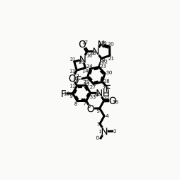 CN(C)CCC1Oc2cc(F)c(OC3CN(C(=O)N4N=CC[C@H]4c4cc(F)cc(F)c4)C3)cc2NC1=O